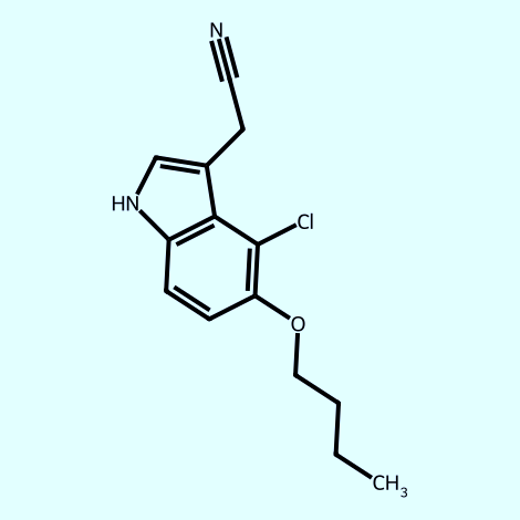 CCCCOc1ccc2[nH]cc(CC#N)c2c1Cl